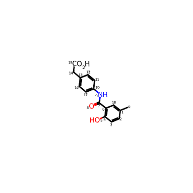 Cc1ccc(O)c(C(=O)Nc2ccc(CC(=O)O)cc2)c1